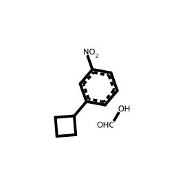 O=CO.O=[N+]([O-])c1cccc(C2CCC2)c1